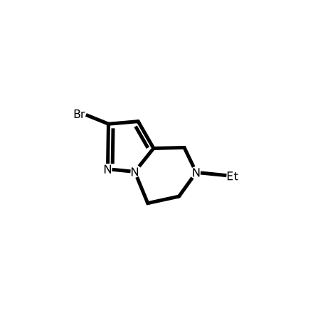 CCN1CCn2nc(Br)cc2C1